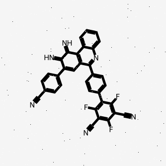 N#Cc1ccc(C2=Cc3c(-c4ccc(-c5c(F)c(C#N)c(F)c(C#N)c5F)cc4)nc4ccccc4c3C(=N)C2=N)cc1